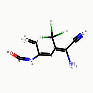 C=C/C(=C\C(=C(/N)C#N)C(F)(F)F)N=C=O